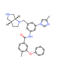 Cc1cn(-c2cc(CN3CC[C@@H]4CNC[C@@H]43)cc(NC(=O)c3ccc(C)c(Oc4ccccc4)c3)c2)cn1